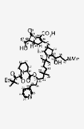 CCC(C)(C)C(=O)C(=O)N1CCCC[C@H]1C(=O)O[C@H](CCc1cccnc1)CC(C)(C)CCC(C)(C)N1C[C@@H](SC2=C(C(=O)O)N3C(=O)[C@H]([C@@H](C)O)[C@H]3[C@H]2C)C[C@H]1[C@H](O)CCNC